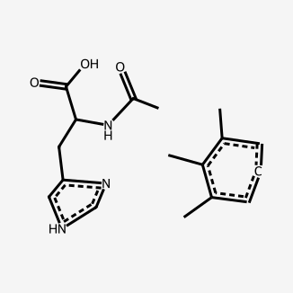 CC(=O)NC(Cc1c[nH]cn1)C(=O)O.Cc1cccc(C)c1C